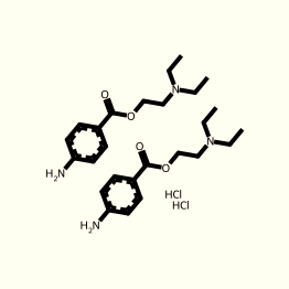 CCN(CC)CCOC(=O)c1ccc(N)cc1.CCN(CC)CCOC(=O)c1ccc(N)cc1.Cl.Cl